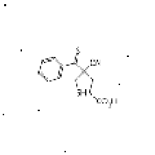 N#CC(CS)(CCC(=O)O)C(=S)c1ccccc1